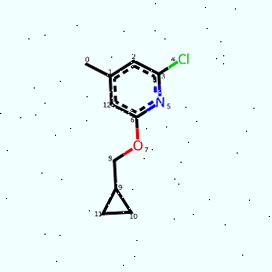 Cc1cc(Cl)nc(OCC2CC2)c1